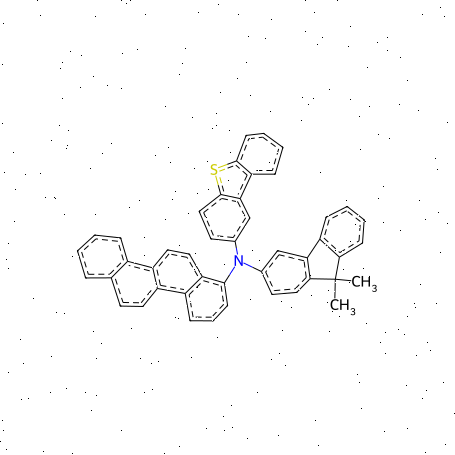 CC1(C)c2ccccc2-c2cc(N(c3ccc4sc5ccccc5c4c3)c3cccc4c3ccc3c5ccccc5ccc43)ccc21